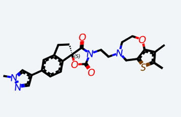 Cc1sc2c(c1C)OCCN(CCN1C(=O)O[C@]3(CCc4cc(-c5cnn(C)c5)ccc43)C1=O)C2